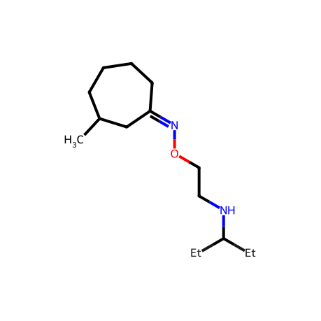 CCC(CC)NCCON=C1CCCCC(C)C1